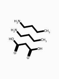 CCCCN.CCCCN.O=C(O)CC(=O)O